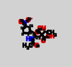 CCC(CC(Cc1cccc([N+](=O)[O-])c1)NC(C)=O)(C(=O)O)C(=O)O